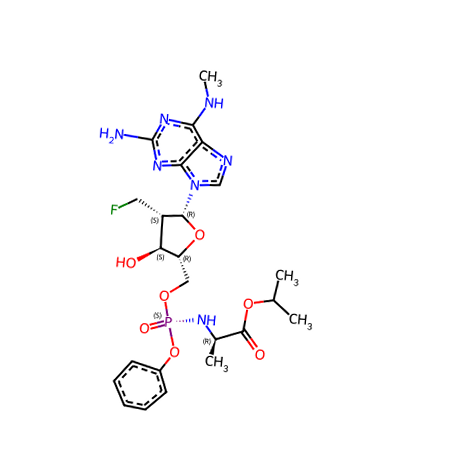 CNc1nc(N)nc2c1ncn2[C@@H]1O[C@H](CO[P@@](=O)(N[C@H](C)C(=O)OC(C)C)Oc2ccccc2)[C@@H](O)[C@@H]1CF